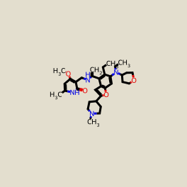 C=C(NCc1c(OC)cc(C)[nH]c1=O)c1c(CC)c(N(CC)C2CCOCC2)cc2oc(C3CCN(C)CC3)cc12